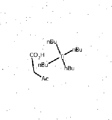 CC(=O)CC(=O)O.CCC[CH2][Ti]([CH2]CCC)([CH2]CCC)[CH2]CCC